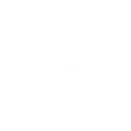 CN[C@@]1(c2ccc(C(F)(F)F)cc2)CCC[C@](C)(O)C1=O.O=S(=O)(O)O